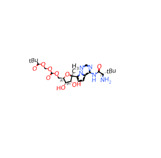 CC(C)(C)C(=O)OCOC(=O)OC[C@H]1O[C@@](C)(c2ccc3c(NC(=O)[C@@H](N)C(C)(C)C)ncnn23)[C@H](O)[C@@H]1O